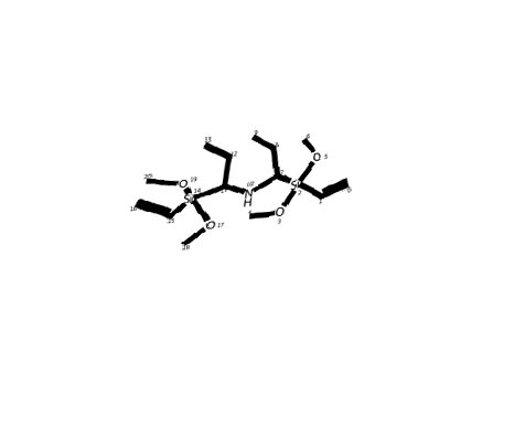 C=C[Si](OC)(OC)C(CC)NC(CC)[Si](C=C)(OC)OC